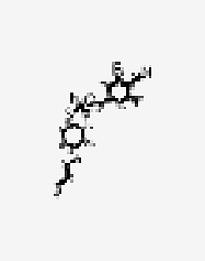 CC=CCC[C@H]1CC[C@H](CC(F)(F)OCc2cc(F)c(C#N)c(F)c2)CC1